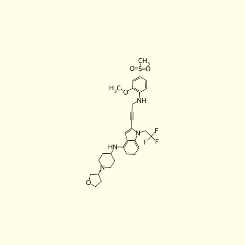 COc1cc(S(C)(=O)=O)ccc1NCC#Cc1cc2c(NC3CCN([C@H]4CCOC4)CC3)cccc2n1CC(F)(F)F